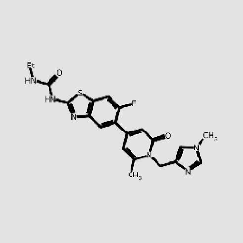 CCNC(=O)Nc1nc2cc(-c3cc(C)n(Cc4cn(C)cn4)c(=O)c3)c(F)cc2s1